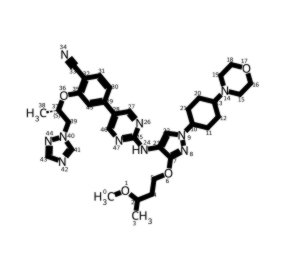 COC(C)CCOc1nn(C2CCC(N3CCOCC3)CC2)cc1Nc1ncc(-c2ccc(C#N)c(O[C@@H](C)Cn3cncn3)c2)cn1